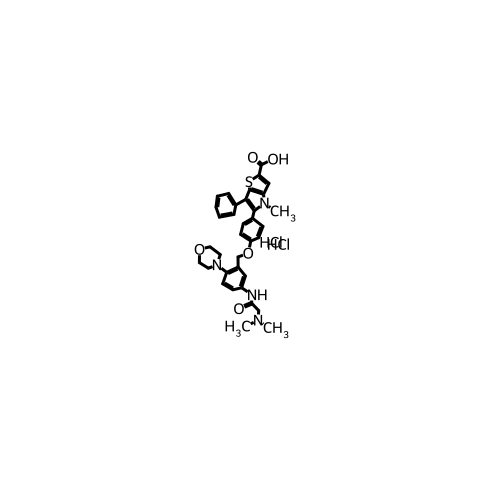 CN(C)CC(=O)Nc1ccc(N2CCOCC2)c(COc2ccc(-c3c(-c4ccccc4)c4sc(C(=O)O)cc4n3C)cc2)c1.Cl.Cl